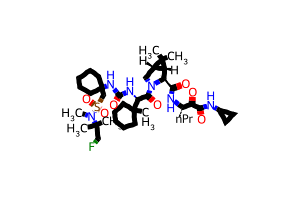 CCC[C@H](NC(=O)[C@@H]1[C@@H]2[C@H](CN1C(=O)[C@@H](NC(=O)NC1(CS(=O)(=O)N(C)C(C)(C)CF)CCCCC1)C1(C)CCCCC1)C2(C)C)C(=O)C(=O)NC1CC1